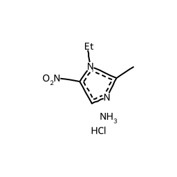 CCn1c([N+](=O)[O-])cnc1C.Cl.N